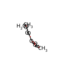 C=C(C)C(=O)OCCCCCC(=O)OCCCCCCCCOc1ccc(C(=O)Oc2ccc3cc(C)ccc3c2)cc1